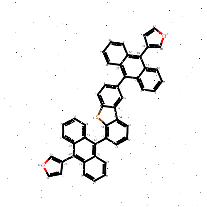 c1ccc2c(-c3ccc4sc5c(-c6c7ccccc7c(-c7ccoc7)c7ccccc67)cccc5c4c3)c3ccccc3c(-c3ccoc3)c2c1